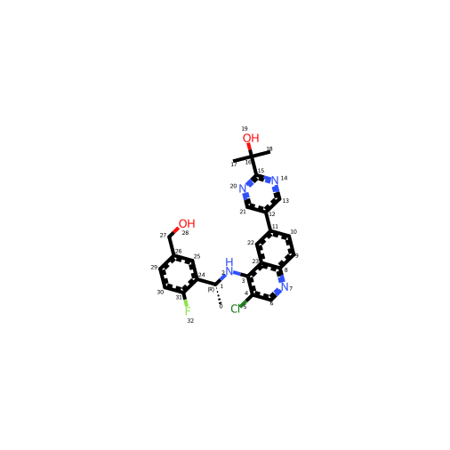 C[C@@H](Nc1c(Cl)cnc2ccc(-c3cnc(C(C)(C)O)nc3)cc12)c1cc(CO)ccc1F